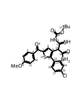 COc1ccc(C(=O)c2cc(C(C(=N)NC(=O)OC(C)(C)C)C(N)=O)c(-c3ccc(Cl)cc3)s2)cc1